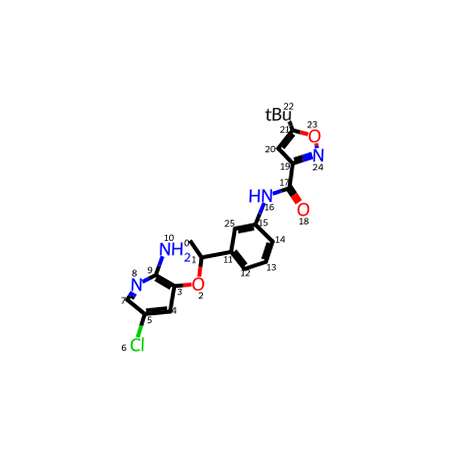 CC(Oc1cc(Cl)cnc1N)c1cccc(NC(=O)c2cc(C(C)(C)C)on2)c1